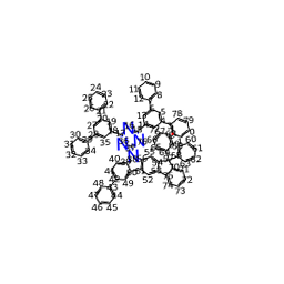 c1ccc(-c2cc(-c3ccccc3)cc(-c3nc(-c4cc(-c5ccccc5)cc(-c5ccccc5)c4)nc(-n4c5ccc(-c6ccccc6)cc5c5cc6c(cc54)C(c4ccccc4)(c4ccccc4)c4ccccc4-6)n3)c2)cc1